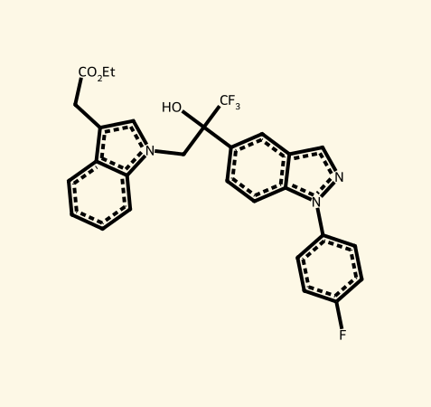 CCOC(=O)Cc1cn(CC(O)(c2ccc3c(cnn3-c3ccc(F)cc3)c2)C(F)(F)F)c2ccccc12